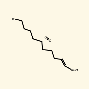 CCCCCCCCC=CCCCCCCCCO.O=O